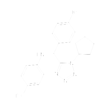 FC(F)(F)c1ccc(N[C@H](c2ccc(Br)cc2)c2nnnn2C2CCCC2)cc1